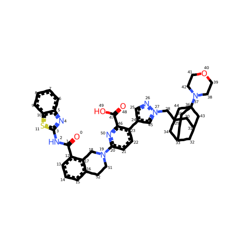 O=C(Nc1nc2ccccc2s1)c1cccc2c1CN(c1ccc(-c3cnn(CC45CC6CC(C4)CC(N4CCOCC4)(C6)C5)c3)c(C(=O)O)n1)CC2